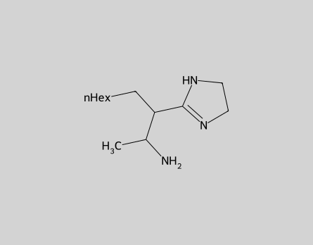 CCCCCCCC(C1=NCCN1)C(C)N